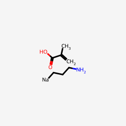 C=C(C)C(=O)O.NCC[CH2][Na]